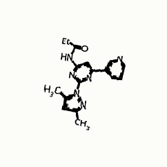 CCC(=O)Nc1cc(-c2cccnc2)nc(-n2nc(C)cc2C)n1